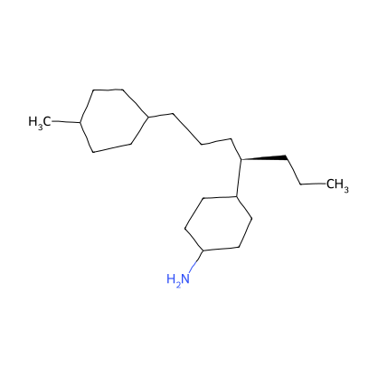 CCC[C@H](CCCC1CCC(C)CC1)C1CCC(N)CC1